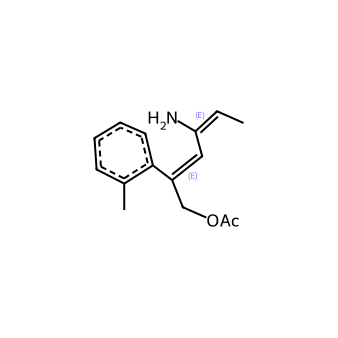 C/C=C(N)\C=C(\COC(C)=O)c1ccccc1C